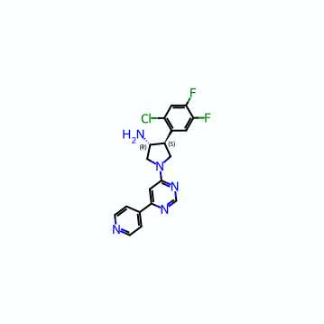 N[C@H]1CN(c2cc(-c3ccncc3)ncn2)C[C@@H]1c1cc(F)c(F)cc1Cl